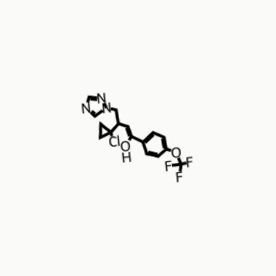 OC(=CC(Cn1cncn1)C1(Cl)CC1)c1ccc(OC(F)(F)F)cc1